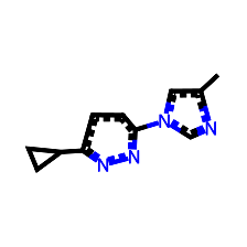 Cc1cn(-c2ccc(C3CC3)nn2)cn1